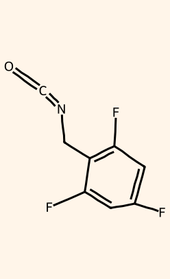 O=C=NCc1c(F)cc(F)cc1F